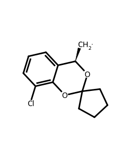 [CH2][C@H]1OC2(CCCC2)Oc2c(Cl)cccc21